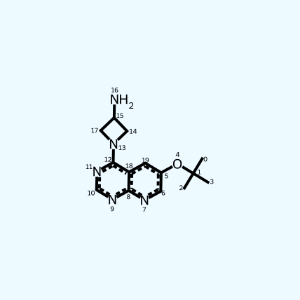 CC(C)(C)Oc1cnc2ncnc(N3CC(N)C3)c2c1